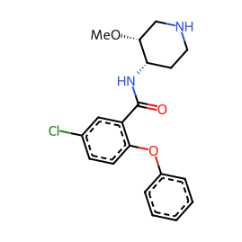 CO[C@@H]1CNCC[C@@H]1NC(=O)c1cc(Cl)ccc1Oc1ccccc1